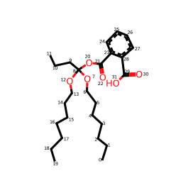 CCCCCCCOC(CCC)(OCCCCCCC)OC(=O)c1ccccc1C(=O)O